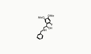 COc1cc(F)c(C(O)CNCc2ccccc2)cc1OC